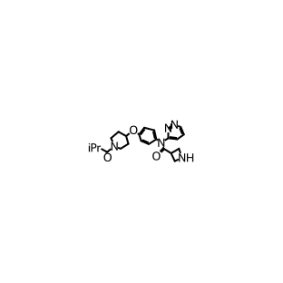 CC(C)C(=O)N1CCC(Oc2ccc(N(C(=O)C3CNC3)c3cccnn3)cc2)CC1